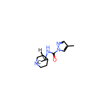 Cc1cnn(C(=O)N[C@H]2CN3CCC2CC3)c1